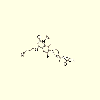 Cc1c(N2CC[C@@H]([C@H](C)NC(=O)O)C2)c(F)cc2c(OCCCC#N)cc(=O)n(C3CC3)c12